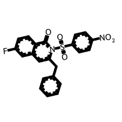 O=c1c2ccc(F)cc2cc(Cc2ccccc2)n1S(=O)(=O)c1ccc([N+](=O)[O-])cc1